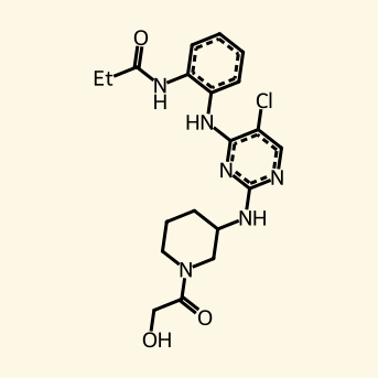 CCC(=O)Nc1ccccc1Nc1nc(NC2CCCN(C(=O)CO)C2)ncc1Cl